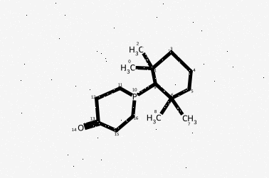 CC1(C)CCCC(C)(C)C1P1CCC(=O)CC1